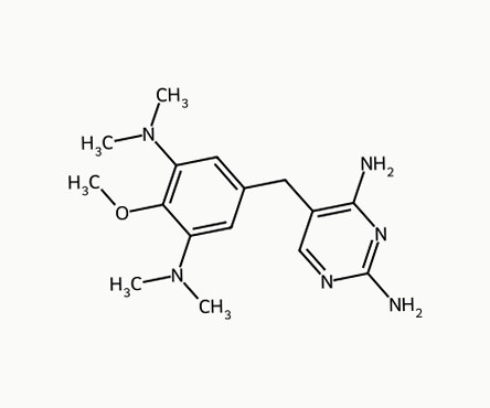 COc1c(N(C)C)cc(Cc2cnc(N)nc2N)cc1N(C)C